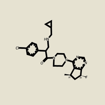 C[C@@H]1C[C@@H](F)c2ncnc(N3CCN(C(=O)C(CNCC4CC4)c4ccc(Cl)cc4)CC3)c21